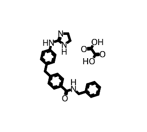 O=C(NCc1ccccc1)c1ccc(Cc2ccc(NC3=NCCN3)cc2)cc1.O=C(O)C(=O)O